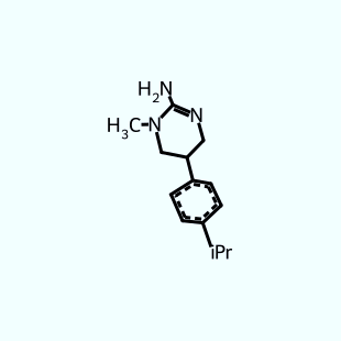 CC(C)c1ccc(C2CN=C(N)N(C)C2)cc1